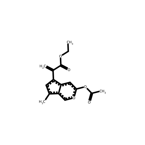 C=C(C(=O)OCC)c1cc(C)c2coc(OC(C)=O)cc1-2